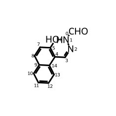 O=CN/N=C\c1c(O)ccc2ccccc12